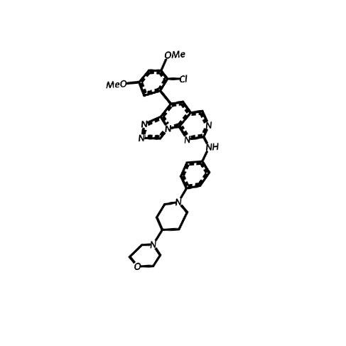 COc1cc(OC)c(Cl)c(-c2cc3cnc(Nc4ccc(N5CCC(N6CCOCC6)CC5)cc4)nc3n3cnnc23)c1